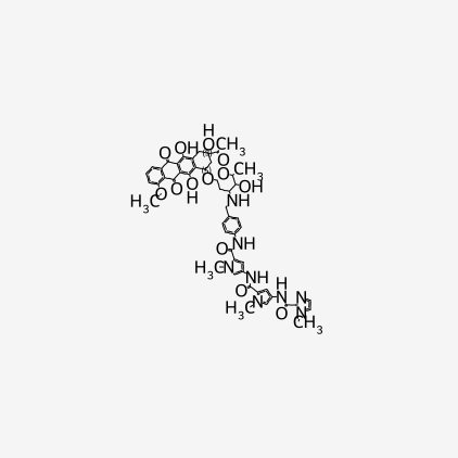 COc1cccc2c1C(=O)c1c(O)c3c(c(O)c1C2=O)C[C@@](O)(C(C)=O)C[C@@H]3OC1CC(NCc2ccc(NC(=O)c3cc(NC(=O)c4cc(NC(=O)c5nccn5C)cn4C)cn3C)cc2)C(O)C(C)O1